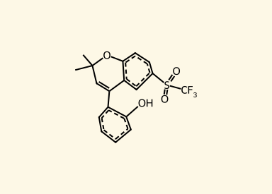 CC1(C)C=C(c2ccccc2O)c2cc(S(=O)(=O)C(F)(F)F)ccc2O1